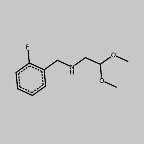 COC(CNCc1ccccc1F)OC